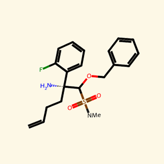 C=CCC[C@@](N)(c1ccccc1F)C(OCc1ccccc1)S(=O)(=O)NC